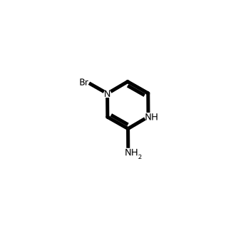 NC1=CN(Br)C=CN1